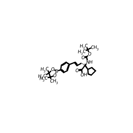 CC(C)(C)OC(=O)N[C@](CC=Cc1ccc(B2OC(C)(C)C(C)(C)O2)cc1)(C(=O)O)C1CCCC1